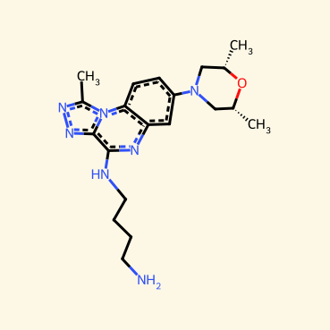 Cc1nnc2c(NCCCCN)nc3cc(N4C[C@@H](C)O[C@@H](C)C4)ccc3n12